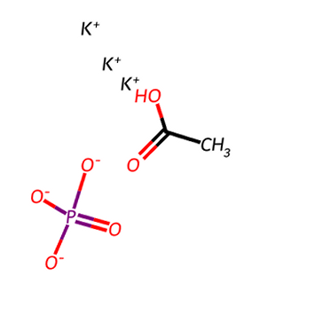 CC(=O)O.O=P([O-])([O-])[O-].[K+].[K+].[K+]